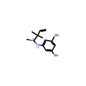 C=CC(C)(C)[C@H](C)Nc1cc(C(C)(C)C)cc(C(C)(C)C)c1